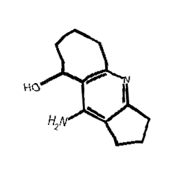 Nc1c2c(nc3c1C(O)CCC3)CCC2